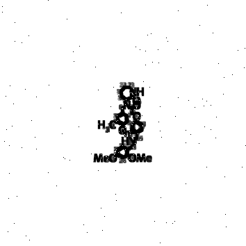 CCCOc1ccc(CN(C(=O)COc2ccc(CNCc3ccc(OC)cc3OC)cc2)[C@H]2CCCCNC2=O)cc1C